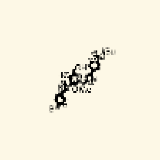 CO[C@@H]1[C@@H](n2cc(-c3ccc(Br)c(F)c3)nn2)[C@@H](O)[C@@H](CO)O[C@@H]1CC1CC(C2CCN(C(=O)OC(C)(C)C)CC2)=NO1